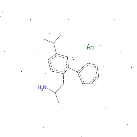 CC(N)Cc1ccc(C(C)C)cc1-c1ccccc1.Cl